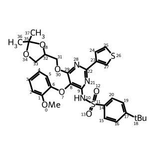 COc1ccccc1Oc1c(NS(=O)(=O)c2ccc(C(C)(C)C)cc2)nc(-c2ccsc2)nc1OCC1COC(C)(C)O1